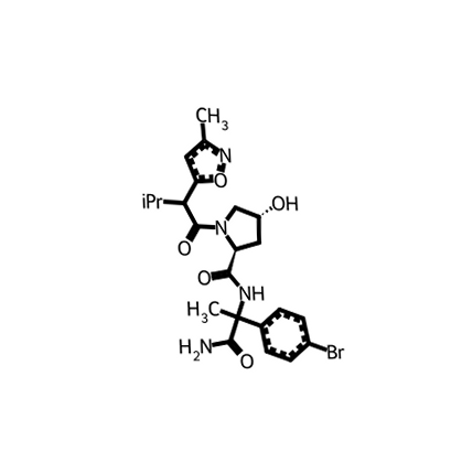 Cc1cc(C(C(=O)N2C[C@H](O)C[C@H]2C(=O)NC(C)(C(N)=O)c2ccc(Br)cc2)C(C)C)on1